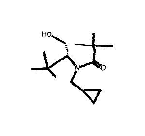 CC(C)(C)C(=O)N(CC1CC1)[C@@H](CO)C(C)(C)C